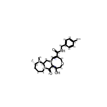 C[C@H]1CCCN2C(=O)/C3=C(\O)COC/C(C(=O)NCc4ccc(F)cc4)=C\N3CC2N1C